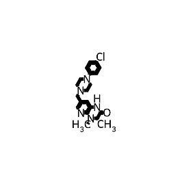 CC1C(=O)Nc2cc(CN3CCN(c4ccc(Cl)cc4)CC3)cnc2N1C